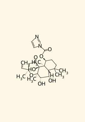 C=C[C@@]1(C)CC(=O)[C@]2(O)[C@@]3(C)[C@@H](OC(=O)n4ccnc4)CCC(C)(C)[C@@H]3[C@H](O)[C@H](O)[C@@]2(C)O1